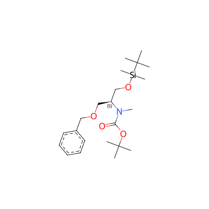 CN(C(=O)OC(C)(C)C)[C@@H](COCc1ccccc1)CO[Si](C)(C)C(C)(C)C